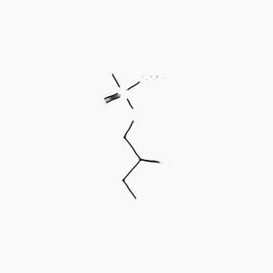 CNP(=O)(O)OCC(O)CO